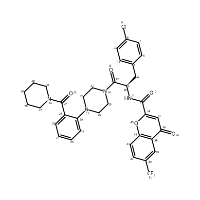 O=C(N[C@H](Cc1ccc(Cl)cc1)C(=O)N1CCN(c2ccccc2C(=O)N2CCCCC2)CC1)c1cc(=O)c2cc(C(F)(F)F)ccc2o1